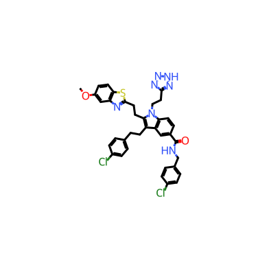 COc1ccc2sc(CCc3c(CCc4ccc(Cl)cc4)c4cc(C(=O)NCc5ccc(Cl)cc5)ccc4n3CCc3nn[nH]n3)nc2c1